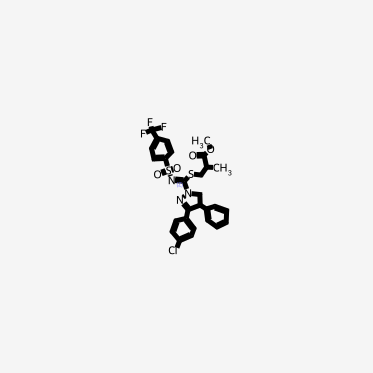 COC(=O)C(C)CS/C(=N\S(=O)(=O)c1ccc(C(F)(F)F)cc1)N1CC(c2ccccc2)C(c2ccc(Cl)cc2)=N1